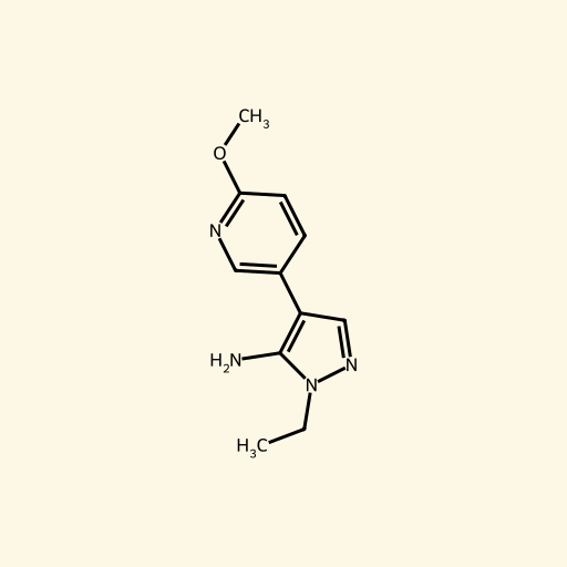 CCn1ncc(-c2ccc(OC)nc2)c1N